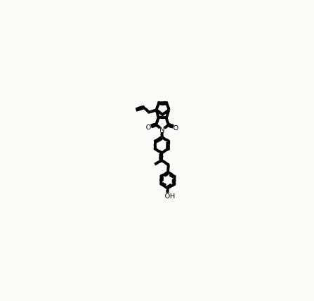 C=CCC12C=CC(C1)C1C(=O)N(C3=CCC(=C(C)Cc4ccc(O)cc4)C=C3)C(=O)C12